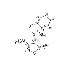 N=C1ON=C(N)/C1=N/Nc1ccccc1F